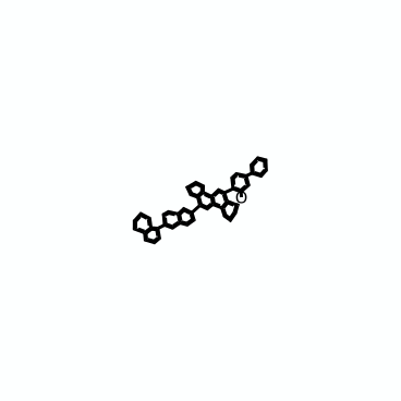 c1ccc(-c2ccc3c(c2)Oc2cccc4c2c-3cc2c3ccccc3c(-c3ccc5cc(-c6cccc7ccccc67)ccc5c3)cc42)cc1